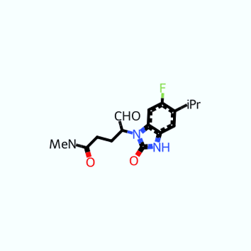 CNC(=O)CCC(C=O)n1c(=O)[nH]c2cc(C(C)C)c(F)cc21